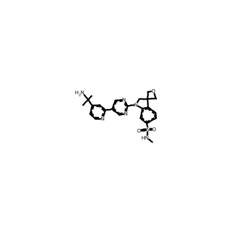 CNS(=O)(=O)c1ccc2c(c1)N(c1ncc(-c3cc(C(C)(C)N)ccn3)cn1)CC21COC1